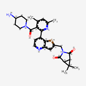 Cc1cc(C(F)(F)F)nc(-c2ccnc3cc(CN4C(=O)C5C(C4=O)C5(C)C)sc23)c1C(=O)N1CCC(N)CC1